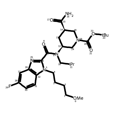 COCCCCn1c(C(=O)N(CC(C)C)[C@H]2C[C@@H](C(N)=O)CN(C(=O)OC(C)(C)C)C2)nc2cc(F)ccc21